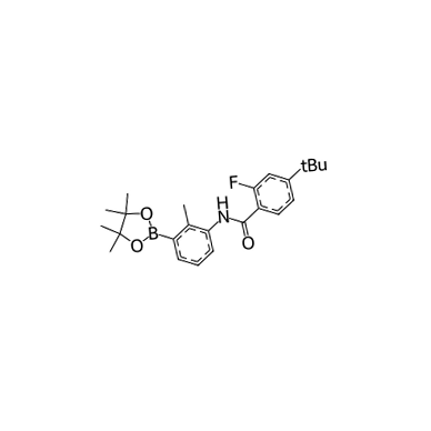 Cc1c(NC(=O)c2ccc(C(C)(C)C)cc2F)cccc1B1OC(C)(C)C(C)(C)O1